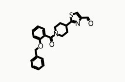 O=Cc1csc(C2CCN(C(=O)c3ccccc3OCc3ccccc3)CC2)n1